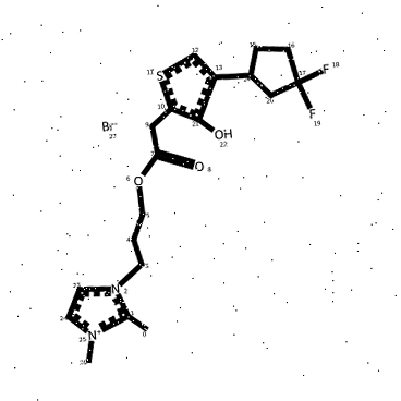 Cc1n(CCCOC(=O)Cc2scc(C3CCC(F)(F)C3)c2O)cc[n+]1C.[Br-]